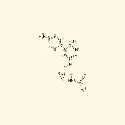 Cc1ncc(NCC2(CNC(=O)O)CC2)cc1-c1ccc(N)cc1